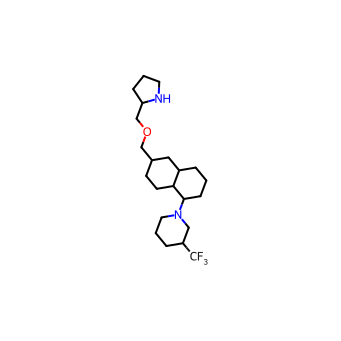 FC(F)(F)C1CCCN(C2CCCC3CC(COCC4CCCN4)CCC32)C1